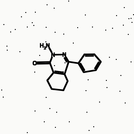 Nn1nc(-c2ccccc2)c2c(c1=O)CCCC2